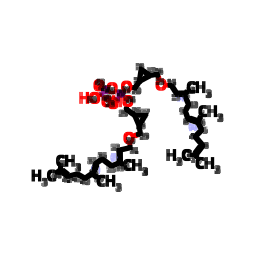 CC(C)=CCC/C(C)=C/CC/C(C)=C/COCC1CC1COP(=O)(OCC1CC1COC/C=C(\C)CC/C=C(\C)CCC=C(C)C)OP(=O)(O)O